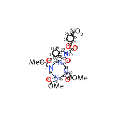 COC(=O)CN1CCN(CC(=O)OC)CCN(CC(=O)N(CC(=O)Oc2ccc([N+](=O)[O-])cc2)Cc2ccccc2)CCN(CC(=O)OC)CC1